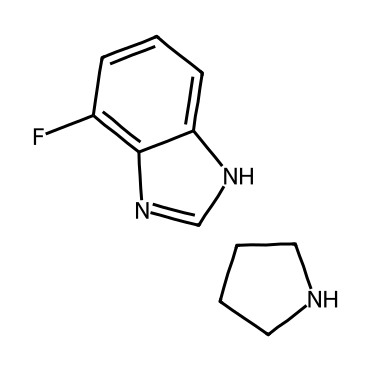 C1CCNC1.Fc1cccc2[nH]cnc12